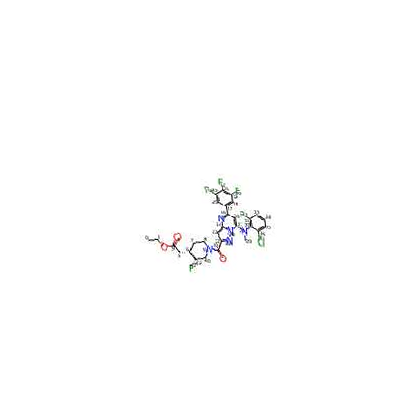 CCOC(=O)C[C@@H]1CCN(C(=O)c2cc3nc(-c4cc(F)c(F)c(F)c4)cc(N(C)c4c(F)cccc4Cl)n3n2)C[C@@H]1F